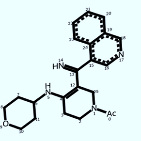 CC(=O)N1CCC(NC2CCOCC2)=C(C(=N)c2cncc3ccccc23)C1